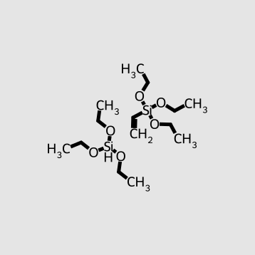 C=C[Si](OCC)(OCC)OCC.CCO[SiH](OCC)OCC